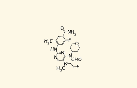 Cc1cc(C(N)=O)c(F)cc1Nc1ncc(N(C)CCF)c(N(C=O)C2CCOCC2)n1